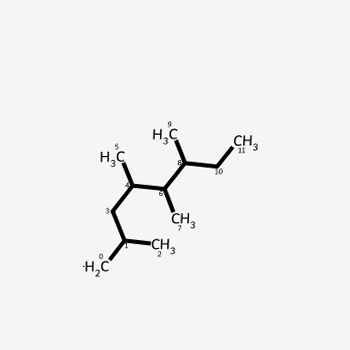 [CH2]C(C)CC(C)C(C)C(C)CC